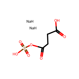 O=C(O)CCC(=O)OS(=O)(=O)O.[NaH].[NaH]